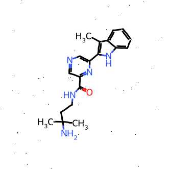 Cc1c(-c2cncc(C(=O)NCCC(C)(C)N)n2)[nH]c2ccccc12